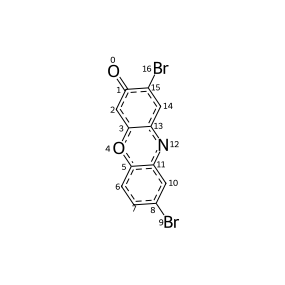 O=c1cc2oc3ccc(Br)cc3nc-2cc1Br